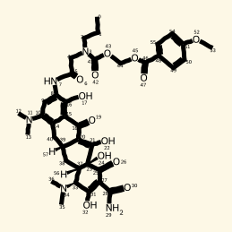 CCCN(CC(=O)Nc1cc(N(C)C)c2c(c1O)C(=O)C1=C(O)[C@]3(O)C(=O)C(C(N)=O)=C(O)[C@@H](N(C)C)[C@@H]3C[C@@H]1C2)C(=O)OCOC(=O)c1ccc(OC)cc1